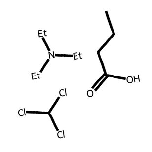 CCCC(=O)O.CCN(CC)CC.ClC(Cl)Cl